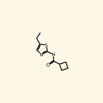 CCc1cnc([N]C(=O)C2CCC2)s1